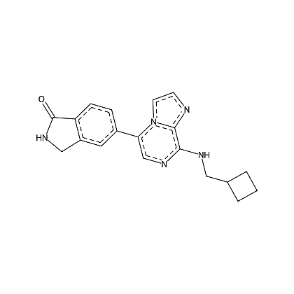 O=C1NCc2cc(-c3cnc(NCC4CCC4)c4nccn34)ccc21